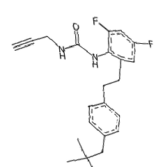 C#CCNC(=O)Nc1c(F)cc(F)cc1CCc1ccc(CC(C)(C)C)cc1